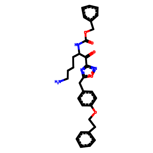 NCCCCC(NC(=O)OCc1ccccc1)C(=O)c1noc(Cc2ccc(OCCc3ccccc3)cc2)n1